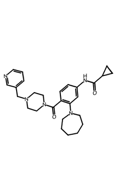 O=C(Nc1ccc(C(=O)N2CCN(Cc3cccnc3)CC2)c(N2CCCCCC2)c1)C1CC1